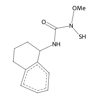 CON(S)C(=O)NC1CCCc2ccccc21